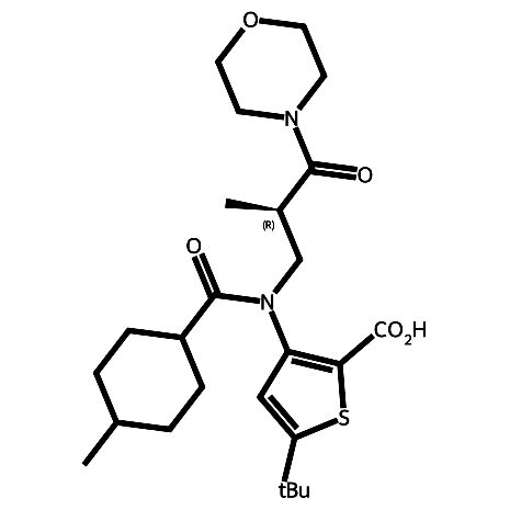 CC1CCC(C(=O)N(C[C@@H](C)C(=O)N2CCOCC2)c2cc(C(C)(C)C)sc2C(=O)O)CC1